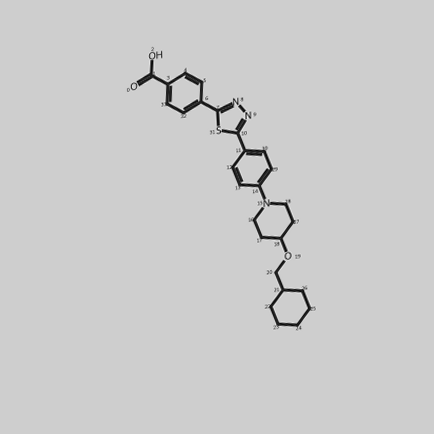 O=C(O)c1ccc(-c2nnc(-c3ccc(N4CCC(OCC5CCCCC5)CC4)cc3)s2)cc1